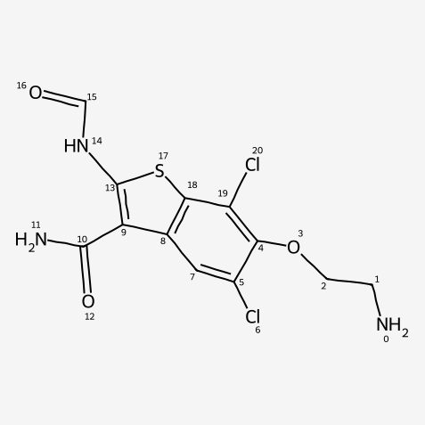 NCCOc1c(Cl)cc2c(C(N)=O)c(NC=O)sc2c1Cl